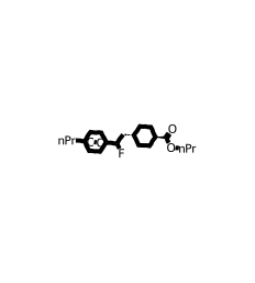 CCCOC(=O)[C@H]1CC[C@H](CC(F)C23CCC(CCC)(CC2)CC3)CC1